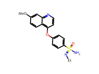 CCN=S(N)(=O)c1ccc(Oc2ccnc3cc(OC)ccc23)cc1